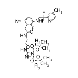 Cc1ccnc(C(F)(F)CNc2ccc(C#N)c(CC(=O)NCCONC(=N)N(C(=O)OC(C)(C)C)C(=O)OC(C)(C)C)c2F)c1